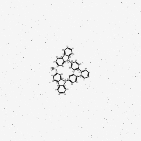 N.c1ccc(-c2ccc(-n3c4ccccc4c4ccccc43)cc2)c(-c2ccc(-n3c4ccccc4c4ccccc43)cc2)c1